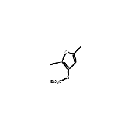 CCOC(=O)Sc1cc(C)oc1C